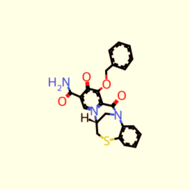 NC(=O)c1cn2c(c(OCc3ccccc3)c1=O)C(=O)N1C[C@@H]2CSc2ccccc21